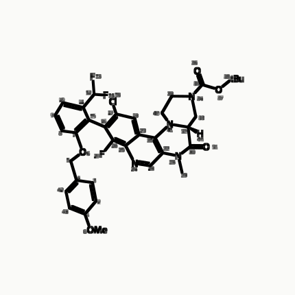 COc1ccc(COc2cccc(C(F)F)c2-c2c(Cl)cc3c4c(cnc3c2F)N(C)C(=O)[C@H]2CN(C(=O)OC(C)(C)C)CCN42)cc1